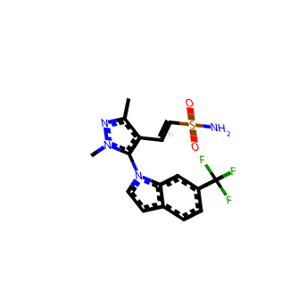 Cc1nn(C)c(-n2ccc3ccc(C(F)(F)F)cc32)c1/C=C/S(N)(=O)=O